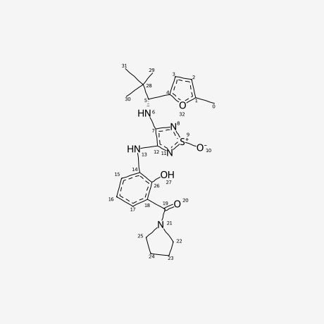 Cc1ccc([C@H](Nc2n[s+]([O-])nc2Nc2cccc(C(=O)N3CCCC3)c2O)C(C)(C)C)o1